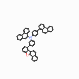 c1cc(-c2cccc3oc4c5ccccc5ccc4c23)cc(N(c2ccc(-c3cccc4c3ccc3ccccc34)cc2)c2cc3ccccc3c3ccccc23)c1